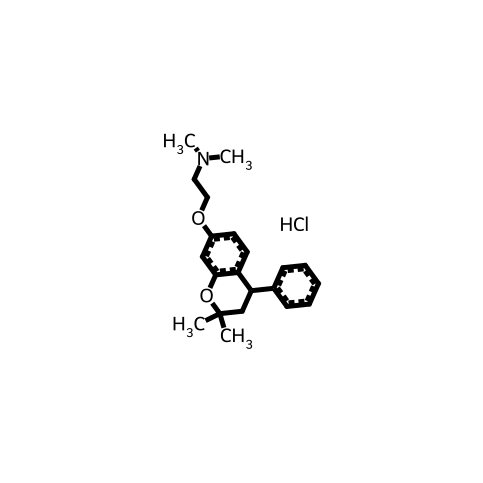 CN(C)CCOc1ccc2c(c1)OC(C)(C)CC2c1ccccc1.Cl